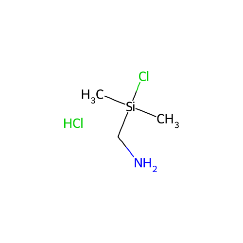 C[Si](C)(Cl)CN.Cl